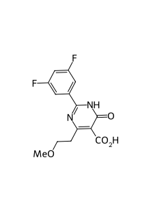 COCCc1nc(-c2cc(F)cc(F)c2)[nH]c(=O)c1C(=O)O